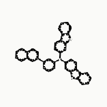 c1cc(-c2ccc3ccccc3c2)cc(N(c2ccc3c(c2)oc2ccccc23)c2ccc3c(c2)sc2ccccc23)c1